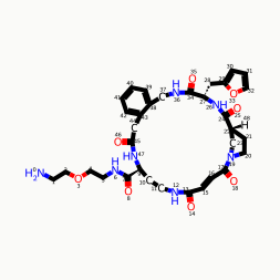 NCCOCCNC(=O)[C@@H]1CCNC(=O)/C=C/C(=O)N2CC[C@H](C2)C(=O)N[C@@H](Cc2ccco2)C(=O)NCc2ccccc2CC(=O)N1